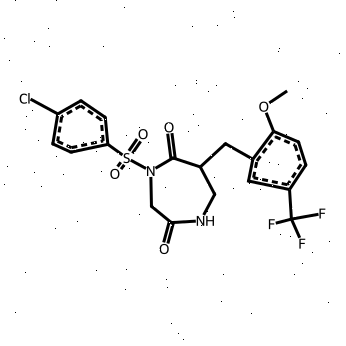 COc1ccc(C(F)(F)F)cc1CC1CNC(=O)CN(S(=O)(=O)c2ccc(Cl)cc2)C1=O